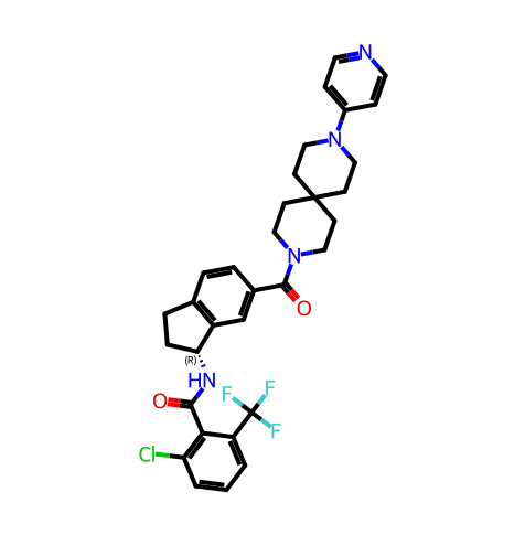 O=C(N[C@@H]1CCc2ccc(C(=O)N3CCC4(CC3)CCN(c3ccncc3)CC4)cc21)c1c(Cl)cccc1C(F)(F)F